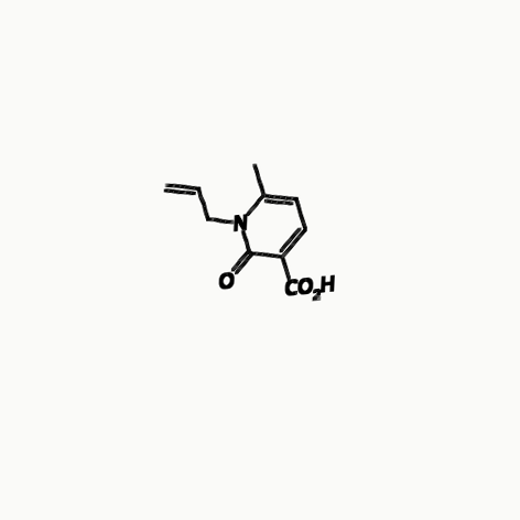 C=CCn1c(C)ccc(C(=O)O)c1=O